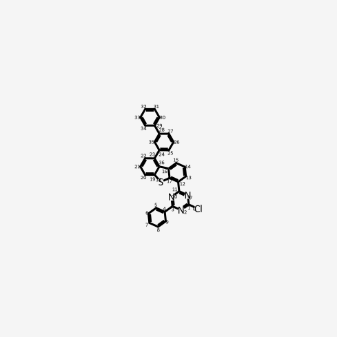 Clc1nc(-c2ccccc2)nc(-c2cccc3c2sc2cccc(-c4cccc(-c5ccccc5)c4)c23)n1